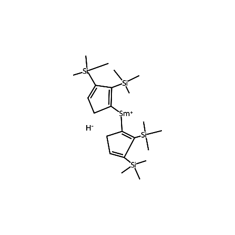 C[Si](C)(C)C1=CC[C]([Sm+][C]2=C([Si](C)(C)C)C([Si](C)(C)C)=CC2)=C1[Si](C)(C)C.[H-]